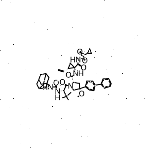 C=C[C@@H]1C[C@]1(NC(=O)[C@@H]1C[C@@](OC)(c2ccc(-c3ccccc3)cc2)CN1C(=O)[C@@H](NC(=O)NC12CC3CC(CC(C3)C1)C2)C(C)(C)C)C(=O)NS(=O)(=O)C1CC1